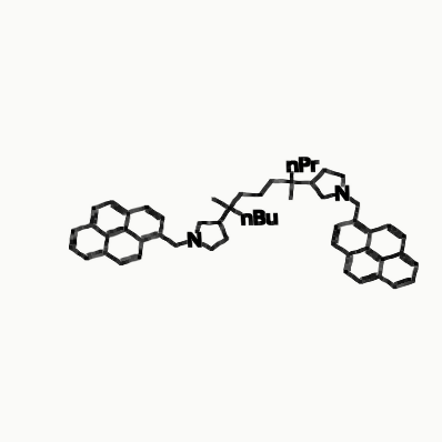 CCCCC(C)(CCCC(C)(CCC)C1CCN(Cc2ccc3ccc4cccc5ccc2c3c45)C1)C1CCN(Cc2ccc3ccc4cccc5ccc2c3c45)C1